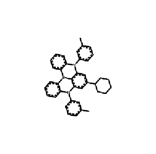 Cc1cccc(N2c3ccccc3B3c4ccccc4N(c4cccc(C)c4)c4cc(C5CCCCC5)cc2c43)c1